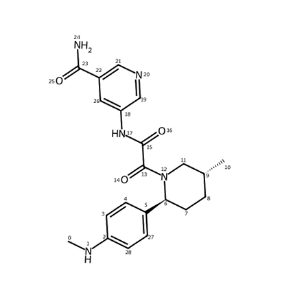 CNc1ccc([C@@H]2CC[C@@H](C)CN2C(=O)C(=O)Nc2cncc(C(N)=O)c2)cc1